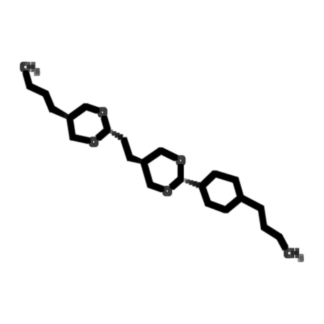 CCCCC1CCC([C@H]2OC[C@H](CC[C@H]3OC[C@H](CCCC)CO3)CO2)CC1